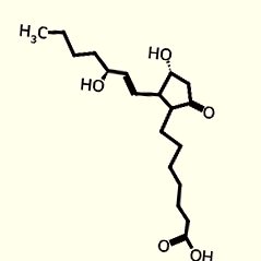 CCCC[C@H](O)/C=C/C1C(CCCCCCC(=O)O)C(=O)C[C@H]1O